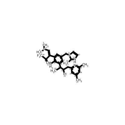 C=C(/C(=C\N(C)C)c1cc(CN2C=CNC2C)cc(C(C)C(CC)Cc2cc(C)cc(C)n2)c1C)C(F)(F)F